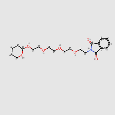 O=C1c2ccccc2C(=O)N1CCOCCOCCOCCOC1CCCCO1